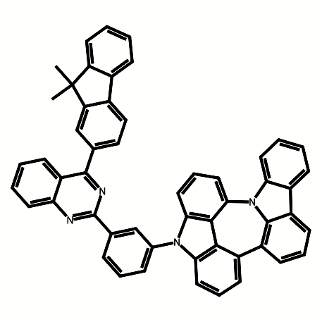 CC1(C)c2ccccc2-c2ccc(-c3nc(-c4cccc(-n5c6cccc7c8cccc9c%10ccccc%10n(c%10cccc5c%10c76)c89)c4)nc4ccccc34)cc21